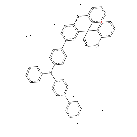 c1ccc(-c2ccc(N(c3ccccc3)c3ccc(-c4ccc5c(c4)C4(c6ccccc6Oc6ccccc64)c4ccccc4S5)cc3)cc2)cc1